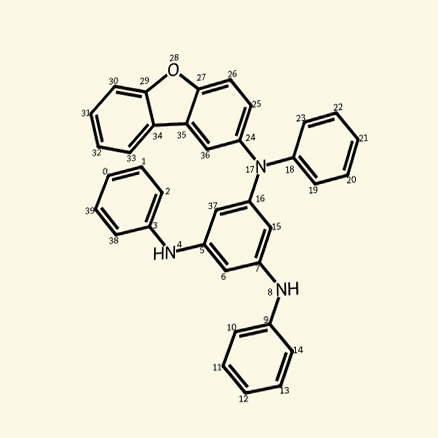 c1ccc(Nc2cc(Nc3ccccc3)cc(N(c3ccccc3)c3ccc4oc5ccccc5c4c3)c2)cc1